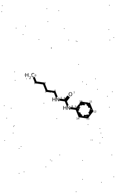 [CH2]CCCCNC(=O)Nc1cc[c]cc1